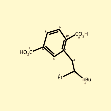 CCCCC(CC)Cc1cc(C(=O)O)ccc1C(=O)O